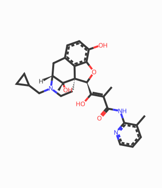 C/C(C(=O)Nc1ncccc1C)=C(/O)[C@@H]1Oc2c(O)ccc3c2[C@@]12CCN(CC1CC1)[C@H](C3)[C@@]2(C)O